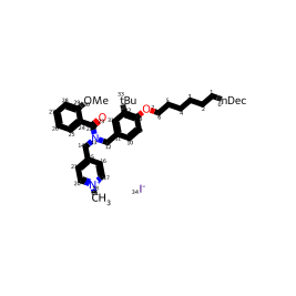 CCCCCCCCCCCCCCCCOc1ccc(CN(Cc2cc[n+](C)cc2)C(=O)c2ccccc2OC)cc1C(C)(C)C.[I-]